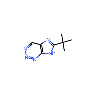 CC(C)(C)c1nc2cnnnc2[nH]1